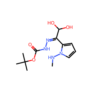 CNn1cccc1/C(=N\NC(=O)OC(C)(C)C)C(O)O